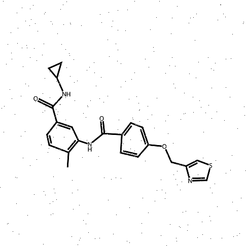 Cc1ccc(C(=O)NC2CC2)cc1NC(=O)c1ccc(OCc2cscn2)cc1